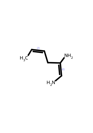 C/C=C\C/C(N)=C\N